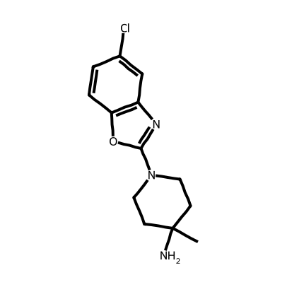 CC1(N)CCN(c2nc3cc(Cl)ccc3o2)CC1